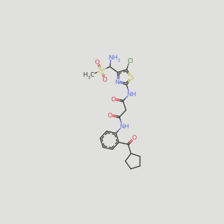 CS(=O)(=O)C(N)c1nc(NC(=O)CC(=O)Nc2ccccc2C(=O)C2CCCC2)sc1Cl